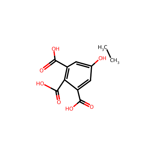 CC.O=C(O)c1cc(O)cc(C(=O)O)c1C(=O)O